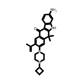 C=C(C)c1cc2c(cc1N1CCN(C3CCC3)CC1)C(C)(C)c1[nH]c3cc(N)ccc3c1C2=O